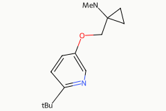 CNC1(COc2ccc(C(C)(C)C)nc2)CC1